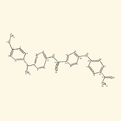 COc1ccc(C(C)c2ccc(OC(=O)c3ccc(Oc4ccc(C(C)=O)cc4)cc3)cc2)cc1